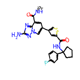 CC(C)NC(=O)c1cc(-c2csc(C(=O)NC3(c4ccc(F)cc4)CCCC3)c2)cn2nc(N)nc12